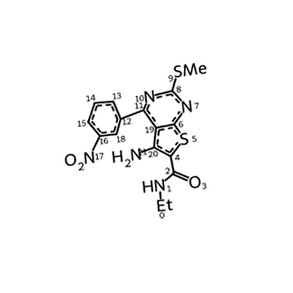 CCNC(=O)c1sc2nc(SC)nc(-c3cccc([N+](=O)[O-])c3)c2c1N